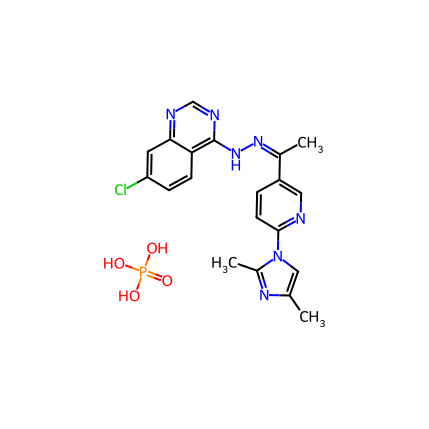 CC(=NNc1ncnc2cc(Cl)ccc12)c1ccc(-n2cc(C)nc2C)nc1.O=P(O)(O)O